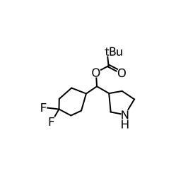 CC(C)(C)C(=O)OC(C1CCC(F)(F)CC1)C1CCNC1